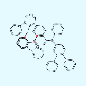 c1ccc(-c2ccc(N(c3ccc(-c4ccccc4)c(-c4ccccc4)c3)c3ccccc3-c3ccc4c(c3)-n3c5ccccc5c5cccc(c53)C43c4ccccc4-c4ccccc43)cc2)cc1